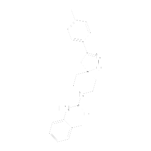 Cc1ccc(C2=NOC3(CCN(C(=O)Nc4ccccc4F)CC3)C2)cc1